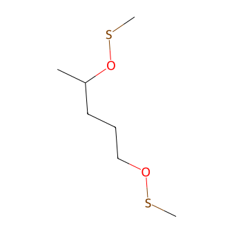 CSOCCCC(C)OSC